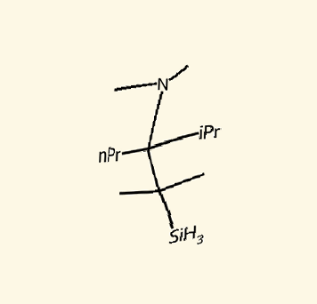 CCCC(C(C)C)(N(C)C)C(C)(C)[SiH3]